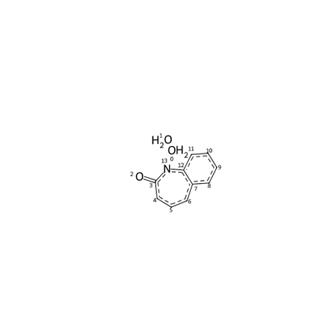 O.O.O=c1cccc2ccccc2n1